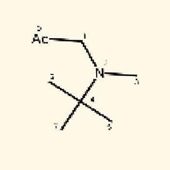 CC(=O)CN(C)C(C)(C)C